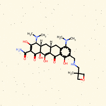 CN(C)c1cc(CNCC2(C)COC2)c(O)c2c1C[C@H]1C[C@H]3[C@H](N(C)C)C(O)=C(C(N)=O)C(=O)[C@@]3(O)C(O)=C1C2=O